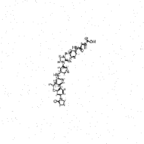 C[C@@H]1Oc2cc(N3CCCC3=O)ccc2-c2cnc(Nc3cncc(N4CCN(Cc5cccc(NC(=O)CNC(=O)O)c5)C4=O)c3)cc21